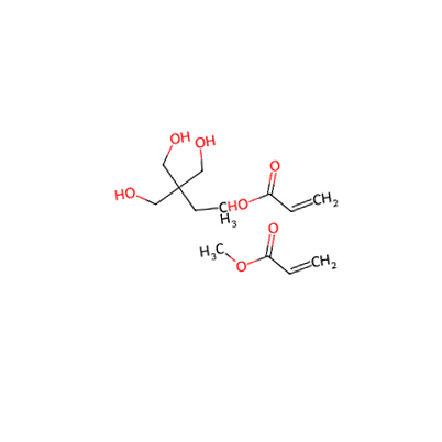 C=CC(=O)O.C=CC(=O)OC.CCC(CO)(CO)CO